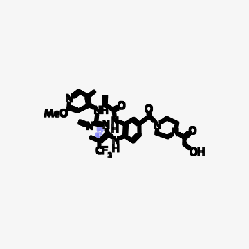 C=CC(=O)Nc1cc(C(=O)N2CCN(C(=O)CO)CC2)ccc1NC(/N=C(\N=C)Nc1cc(OC)ncc1C)=C(/C)C(F)(F)F